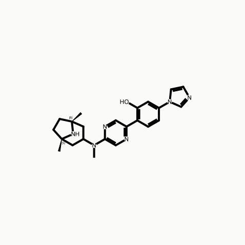 CN(c1cnc(-c2ccc(-n3ccnc3)cc2O)cn1)C1C[C@]2(C)CC[C@](C)(C1)N2